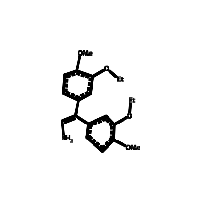 CCOc1cc(C(=CN)c2ccc(OC)c(OCC)c2)ccc1OC